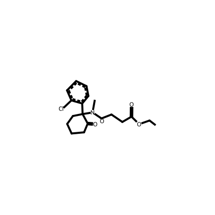 CCOC(=O)CCC(=O)N(C)C1(c2ccccc2Cl)CCCCC1=O